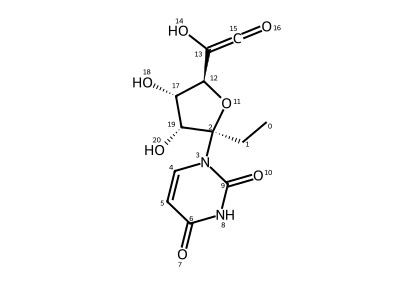 CC[C@@]1(n2ccc(=O)[nH]c2=O)O[C@H](C(O)=C=O)[C@@H](O)[C@H]1O